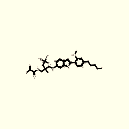 C=C(C)C(=O)OCC(C)(CSc1ccc2cc(-c3ccc(CCCCC)cc3OC)oc2c1)CC(F)(F)F